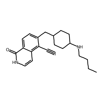 CCCCNC1CCC(Cc2ccc3c(=O)[nH]ccc3c2C#I)CC1